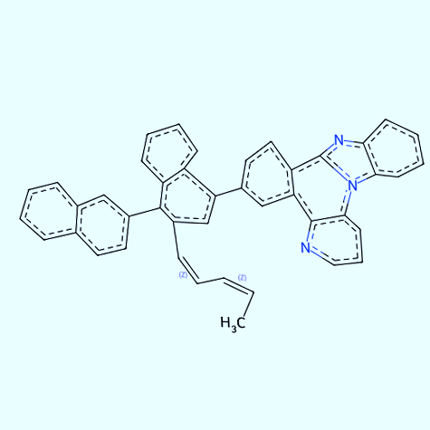 C/C=C\C=C/c1cc(-c2ccc3c(c2)c2ncccc2n2c4ccccc4nc32)c2ccccc2c1-c1ccc2ccccc2c1